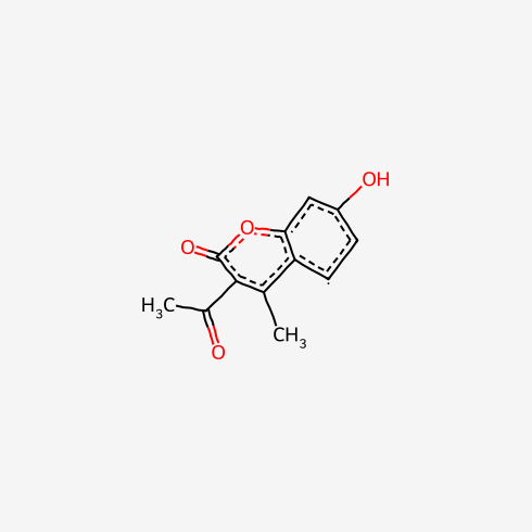 CC(=O)c1c(C)c2[c]cc(O)cc2oc1=O